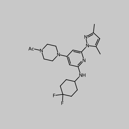 CC(=O)N1CCN(c2cc(NC3CCC(F)(F)CC3)nc(-n3nc(C)cc3C)c2)CC1